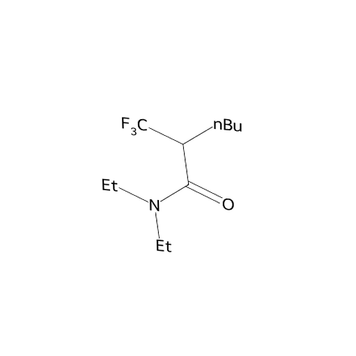 CCCCC(C(=O)N(CC)CC)C(F)(F)F